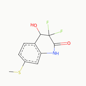 CSc1ccc2c(c1)NC(=O)C(F)(F)C2O